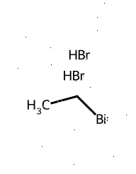 Br.Br.C[CH2][Bi]